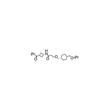 CC(C)OC[C@H]1CC[C@H](COCCC(=O)N[C@H]2C[C@H](C(=O)C(C)C)C2)CC1